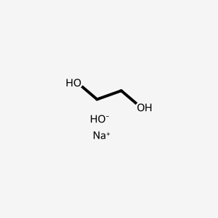 OCCO.[Na+].[OH-]